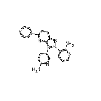 Nc1ccc(-n2c(-c3cccnc3N)nc3ccc(-c4ccccc4)nc32)cn1